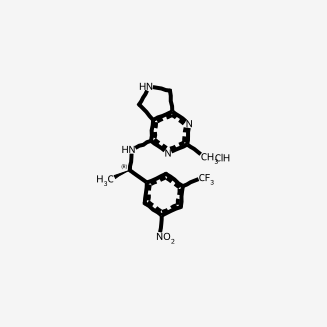 Cc1nc2c(c(N[C@H](C)c3cc([N+](=O)[O-])cc(C(F)(F)F)c3)n1)CNC2.Cl